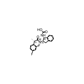 C[C@H](C(=O)N[C@@H]1Cc2ccccc2[C@H]1NC(=O)O)c1ccc(F)cc1F